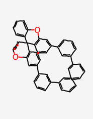 c1ccc(-c2cccc(-c3ccc4c(c3)Oc3ccccc3C43c4ccccc4Oc4cc(-c5cccc(-c6ccccc6)c5)ccc43)c2)cc1